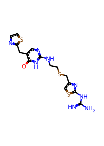 N=C(N)Nc1nc(CSCCNc2ncc(Cc3nccs3)c(=O)[nH]2)cs1